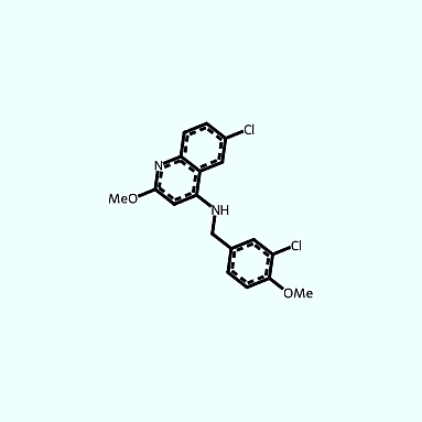 COc1cc(NCc2ccc(OC)c(Cl)c2)c2cc(Cl)ccc2n1